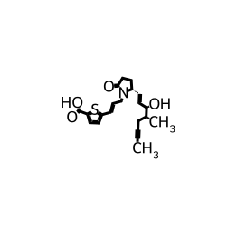 CC#CC[C@H](C)[C@H](O)C=C[C@H]1CCC(=O)N1CC=Cc1ccc(C(=O)O)s1